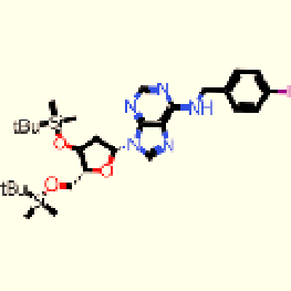 CC(C)(C)[Si](C)(C)OC[C@H]1O[C@@H](n2cnc3c(NCc4ccc(I)cc4)ncnc32)CC1O[Si](C)(C)C(C)(C)C